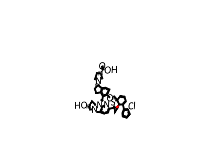 CC1C(c2ccccc2Cl)=CC=CC1(COc1ccc2c(c1C#N)CC[C@H]2N1CC[C@@H](C(=O)O)C1)SC1(c2ccc(CN3CC[C@@H](O)C3)cn2)CC1